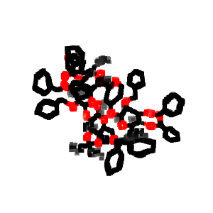 CC1O[C@@H](OC2C=COC(CO[Si](c3ccccc3)(c3ccccc3)C(C)(C)C)[C@H]2O[C@@H]2OC(CO[Si](c3ccccc3)(c3ccccc3)C(C)(C)C)[C@@H]3OC(C)(C)O[C@@H]3[C@H]2OC2OC(C)[C@@H](OC(=O)c3ccccc3)[C@H](OCc3ccccc3)C2OCc2ccccc2)[C@H](OCc2ccccc2)C(OCc2ccccc2)[C@@H]1OC(=O)c1ccccc1